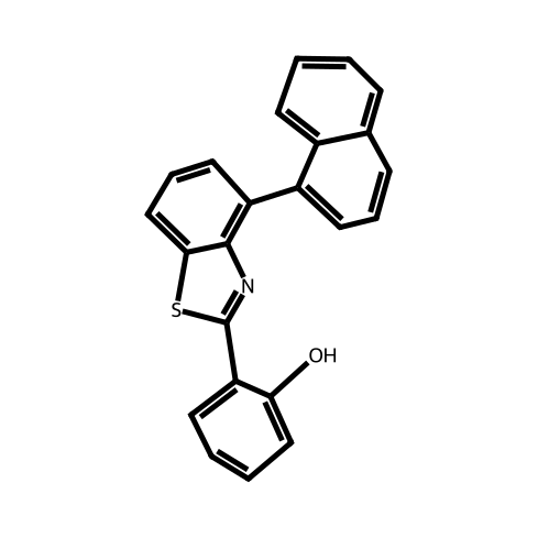 Oc1ccccc1-c1nc2c(-c3cccc4ccccc34)cccc2s1